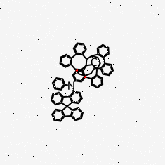 c1ccc(N(c2ccc3c(c2)-c2ccccc2C2CCC45CC(CCCC6CC3(C2)C4c2ccccc2-c2ccccc26)c2ccccc2-c2ccccc25)c2cccc3c2-c2ccccc2C32c3ccccc3-c3ccccc32)cc1